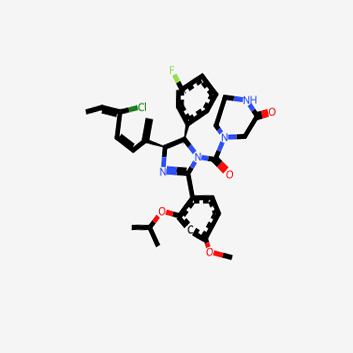 C=C(/C=C\C(Cl)=C/C)[C@@H]1N=C(c2ccc(OC)cc2OC(C)C)N(C(=O)N2CCNC(=O)C2)[C@@H]1c1cccc(F)c1